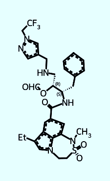 CCc1cn2c3c(cc(C(=O)N[C@@H](Cc4ccccc4)[C@@H](CNCc4cnn(CC(F)(F)F)c4)OC=O)cc13)N(C)S(=O)(=O)CC2